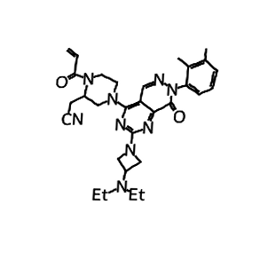 C=CC(=O)N1CCN(c2nc(N3CC(N(CC)CC)C3)nc3c(=O)n(-c4cccc(C)c4C)ncc23)CC1CC#N